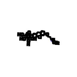 CCO/N=C/CCOc1ccc(Cc2cc([C@]34OC[C@](CO)(O3)[C@@H](O)[C@H](O)[C@H]4O)ccc2Cl)cc1